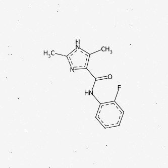 Cc1nc(C(=O)Nc2ccccc2F)c(C)[nH]1